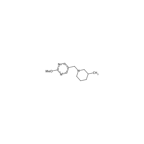 COc1ncc(CN2CCCC(C)C2)cn1